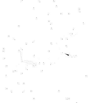 CN[C@H](COC)CO/N=C(\C)C(C)C